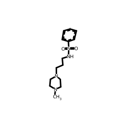 CN1CCN(CCCNS(=O)(=O)c2cc[c]cc2)CC1